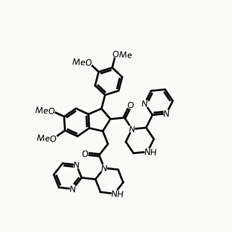 COc1ccc(C2c3cc(OC)c(OC)cc3C(CC(=O)N3CCNCC3c3ncccn3)C2C(=O)N2CCNCC2c2ncccn2)cc1OC